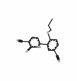 CCCOc1ccc(C#N)cc1-c1ccc(C#N)c(=O)[nH]1